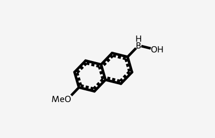 COc1ccc2cc(BO)ccc2c1